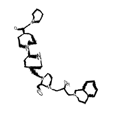 O=C(C1CCN(c2ccc(CN3CCN(CC(O)CN4CCc5ccccc5C4)C3=O)cn2)CC1)N1CCCC1